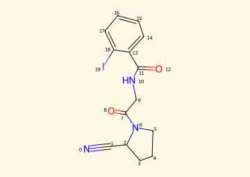 N#CC1CCCN1C(=O)CNC(=O)c1ccccc1I